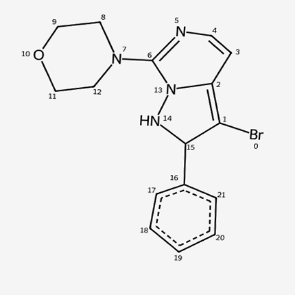 BrC1=C2C=CN=C(N3CCOCC3)N2NC1c1ccccc1